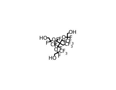 OCC(F)(OC(F)(F)C(CC(F)(F)F)(C(F)(F)OC(F)(CO)C(F)(F)F)C(F)(F)OC(F)(CO)C(F)(F)F)C(F)(F)F